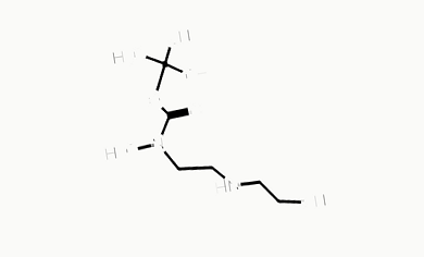 CCCNCCN(C)C(=O)OC(C)(C)C